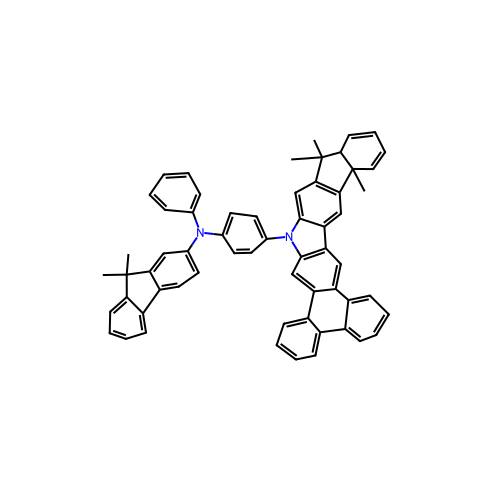 CC1(C)c2ccccc2-c2ccc(N(c3ccccc3)c3ccc(-n4c5cc6c(cc5c5cc7c8ccccc8c8ccccc8c7cc54)C4(C)C=CC=CC4C6(C)C)cc3)cc21